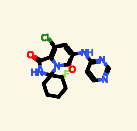 O=C1NC2(CCCCC2F)n2c1c(Cl)cc(Nc1ccncn1)c2=O